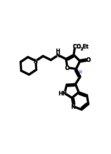 CCOC(=O)C1=C(NCCN2CCCCC2)O/C(=C\c2c[nH]c3ncccc23)C1=O